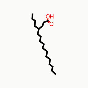 CCCCCCCCCCCCC(CCCC)CCC(=O)O